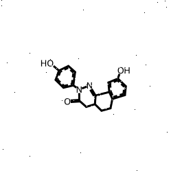 O=C1CC2CCc3ccc(O)cc3C2=NN1c1ccc(O)cc1